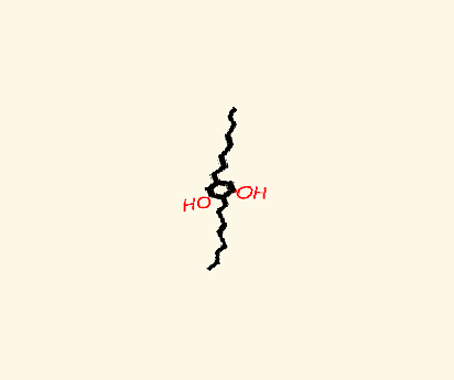 CCCCCCCCc1cc(O)c(CCCCCCCC)c(O)c1